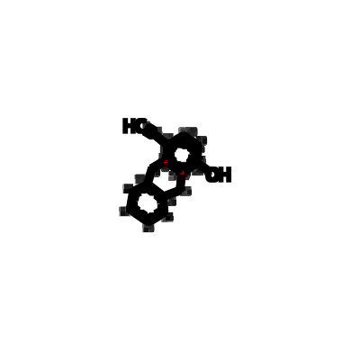 C#Cc1ccc(O)c2c1C1c3ccccc3C2c2ccccc21